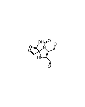 O=CC1=C(C=O)N(C=O)C(C=O)(C(=O)O)N1